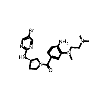 CN(C)CCN(C)c1cc(C(=O)N2CC[C@@H](Nc3ncc(Br)cn3)C2)ccc1N